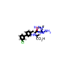 C[C@H](N[C@@H](Cc1ccc(-c2cccc(Cl)c2)cc1)C(=O)N/C(=N/N)N(C)N)C(=O)O